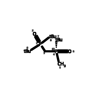 CC(C)(C)P(=O)(C[P@](C)(=O)C(C)(C)C)C(C)(C)C